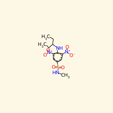 CCC(CC)Nc1c([N+](=O)[O-])cc(S(=O)(=O)NC)cc1[N+](=O)[O-]